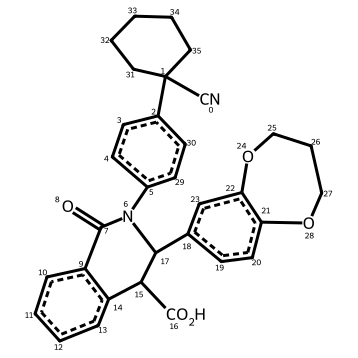 N#CC1(c2ccc(N3C(=O)c4ccccc4C(C(=O)O)C3c3ccc4c(c3)OCCCO4)cc2)CCCCC1